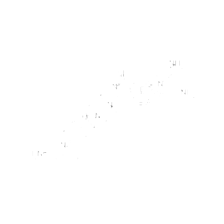 N[C@@H]1CC(=O)N(c2ccc(S(=O)(=O)N3CCN(c4cc(C(F)(F)C5(C(=O)N6C[C@@H](N)C[C@H](N)C6)CCCCC5)cc(Cl)n4)CC3)cc2)C1